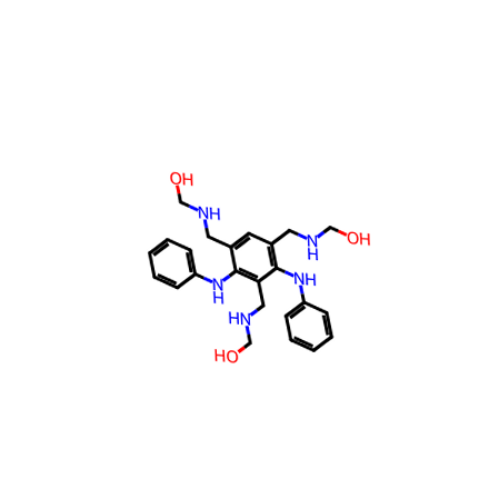 OCNCc1cc(CNCO)c(Nc2ccccc2)c(CNCO)c1Nc1ccccc1